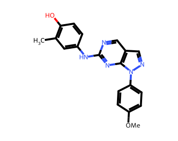 COc1ccc(-n2ncc3cnc(Nc4ccc(O)c(C)c4)nc32)cc1